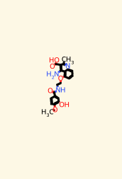 COc1ccc(C(=O)NCCOc2cccc3nc(C)c(C(=O)O)c(N)c23)cc1O